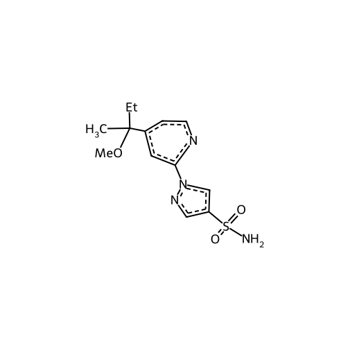 CCC(C)(OC)c1ccnc(-n2cc(S(N)(=O)=O)cn2)c1